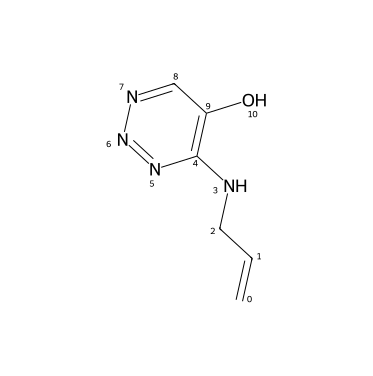 C=CCNc1nnncc1O